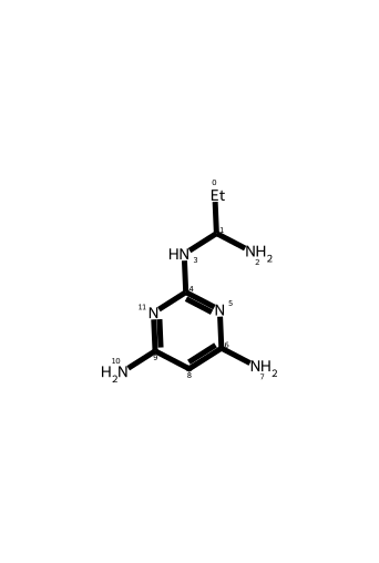 CCC(N)Nc1nc(N)cc(N)n1